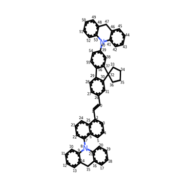 C(=C\c1cccc2c(N3c4ccccc4Cc4ccccc43)cccc12)/c1ccc2c(c1)C1(CCCC1)c1cc(N3c4ccccc4Cc4ccccc43)ccc1-2